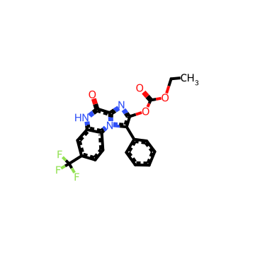 CCOC(=O)Oc1nc2c(=O)[nH]c3cc(C(F)(F)F)ccc3n2c1-c1ccccc1